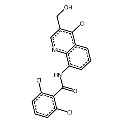 O=C(Nc1cccc2c(Cl)c(CO)cnc12)c1c(Cl)cccc1Cl